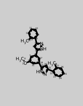 COc1cc(-c2cc(-c3ccccc3C)n[nH]2)cc(-c2cc(-c3ccccc3C)n[nH]2)c1